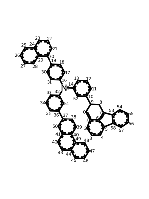 C1=c2cccc3c2=C(CC1c1cccc(N(c2ccc(-c4cccc5ccccc45)cc2)c2cccc(-c4ccc5c(ccc6ccccc65)c4)c2)c1)c1ccccc1-3